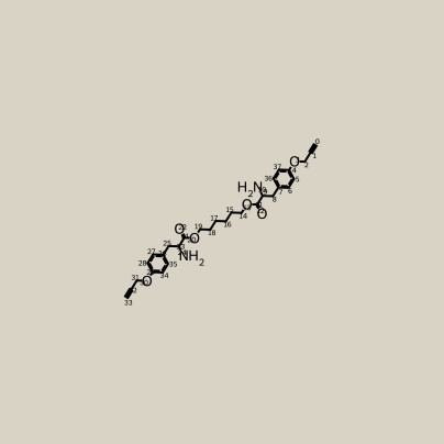 C#CCOc1ccc(CC(N)C(=O)OCCCCCCOC(=O)C(N)Cc2ccc(OCC#C)cc2)cc1